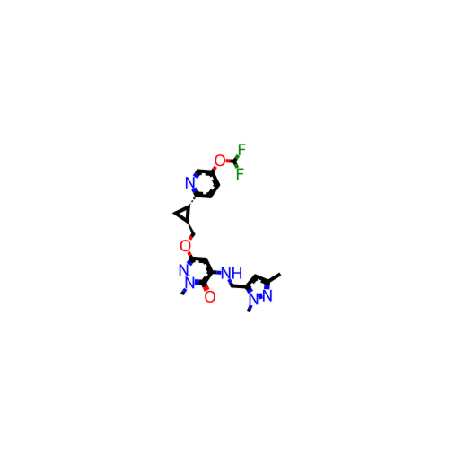 Cc1cc(CNc2cc(OC[C@H]3C[C@@H]3c3ccc(OC(F)F)cn3)nn(C)c2=O)n(C)n1